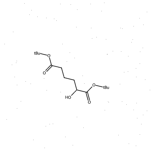 CC(C)(C)OC(=O)CCCC(O)C(=O)OC(C)(C)C